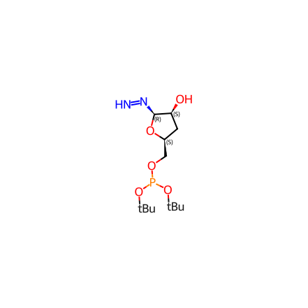 CC(C)(C)OP(OC[C@@H]1C[C@H](O)[C@H](N=N)O1)OC(C)(C)C